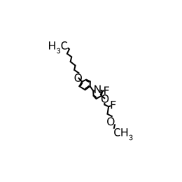 CCCCCCCCOc1ccc(-c2ccc(OCC(F)CCOCCC)c(F)n2)cc1